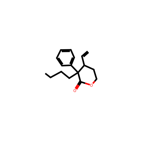 C=CC1CCOC(=O)C1(CCCC)c1ccccc1